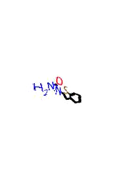 NC(=O)[N]c1cc2ccccc2s1